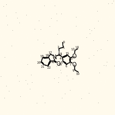 CCC[C@@H](c1ccc(OCC)c(OCC)c1)N1Cc2ccccc2C1=O